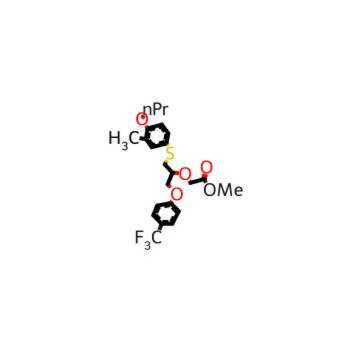 CCCOc1ccc(SCC(COc2ccc(C(F)(F)F)cc2)OCC(=O)OC)cc1C